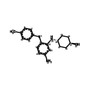 Cc1ccc(Sc2cnc(N)nc2N[C@H]2CC[C@H](O)CC2)cc1